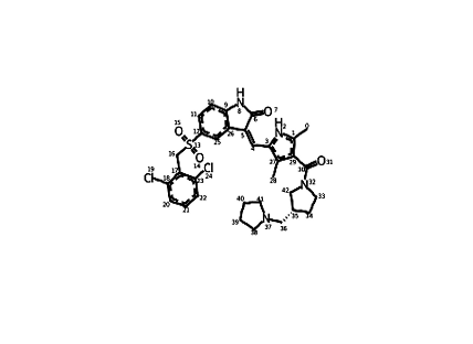 Cc1[nH]c(/C=C2\C(=O)Nc3ccc(S(=O)(=O)Cc4c(Cl)cccc4Cl)cc32)c(C)c1C(=O)N1CC[C@H](CN2CCCC2)C1